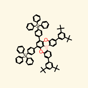 CC(C)(C)c1cc(-c2ccc3c(c2)Oc2c(-c4ccc([Si](c5ccccc5)(c5ccccc5)c5ccccc5)cc4)cc(-c4ccc([Si](c5ccccc5)(c5ccccc5)c5ccccc5)cc4)c4c2B3c2ccc(-c3cc(C(C)(C)C)cc(C(C)(C)C)c3)cc2O4)cc(C(C)(C)C)c1